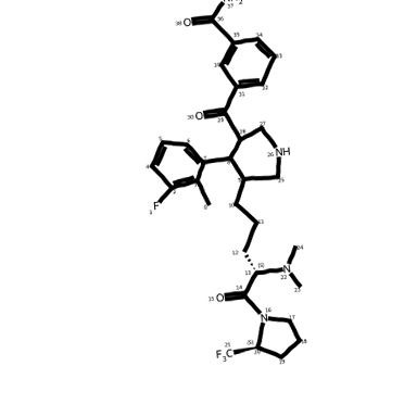 Cc1c(F)cccc1C1C(CCC[C@@H](C(=O)N2CCC[C@H]2C(F)(F)F)N(C)C)CNCC1C(=O)c1cccc(C(N)=O)c1